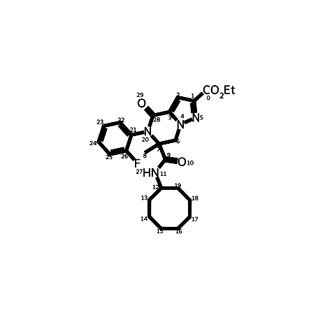 CCOC(=O)c1cc2n(n1)CC(C)(C(=O)NC1CCCCCCC1)N(c1ccccc1F)C2=O